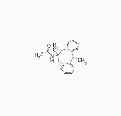 CC(=O)NC1(C)Cc2ccccc2C(C)c2ccccc2C1